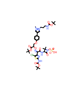 C[n+]1cc(-c2ccc(OCC(O/N=C(\C(=O)NC3C(=O)N(OS(=O)(=O)O)C3(C)C)c3nc(NC(=O)OC(C)(C)C)sc3Cl)C(=O)OC(C)(C)C)cc2)cn1CCCNC(=O)OC(C)(C)C